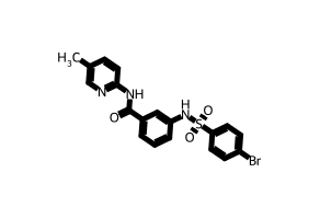 Cc1ccc(NC(=O)c2cccc(NS(=O)(=O)c3ccc(Br)cc3)c2)nc1